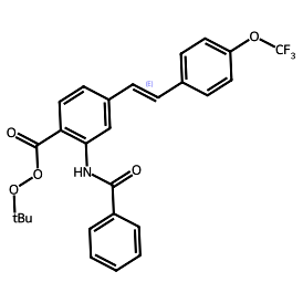 CC(C)(C)OOC(=O)c1ccc(/C=C/c2ccc(OC(F)(F)F)cc2)cc1NC(=O)c1ccccc1